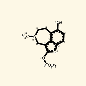 CCOC(=O)Oc1oc2ccc(C#N)c3c2c1CN(C)CC3